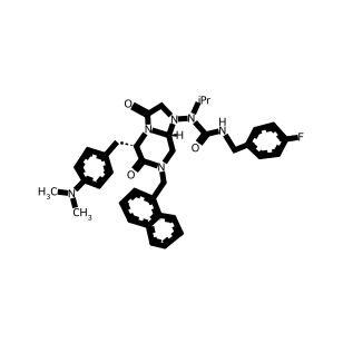 CC(C)N(C(=O)NCc1ccc(F)cc1)N1CC(=O)N2[C@@H](Cc3ccc(N(C)C)cc3)C(=O)N(Cc3cccc4ccccc34)C[C@@H]21